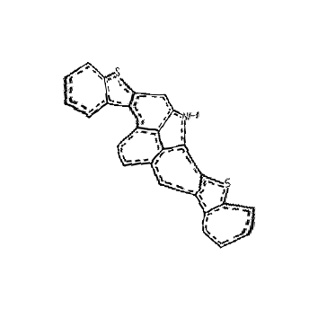 c1ccc2c(c1)sc1c2cc2ccc3c4c(cc5[nH]c1c2c53)sc1ccccc14